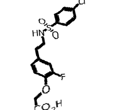 O=C(O)COc1ccc(CCNS(=O)(=O)c2ccc(Cl)cc2)cc1F